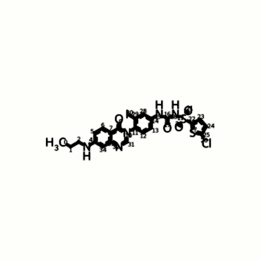 CCCNc1ccc2c(=O)n(-c3ccc(NC(=O)NS(=O)(=O)c4ccc(Cl)s4)cc3I)cnc2c1